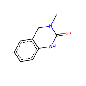 CN1Cc2c[c]ccc2NC1=O